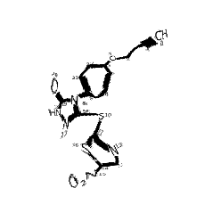 C#CCOc1ccc(-n2c(Sc3ncc([N+](=O)[O-])s3)n[nH]c2=O)cc1